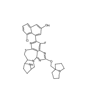 Oc1cc(-c2nc3c4c(nc(OCC56CCCN5CCC6)nc4c2F)N2CC4CCC(N4)C2CS3)c2c(Cl)cccc2c1